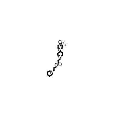 CN1CCN(C2CCN(CCC(=O)OCCCN3CCCCC3)CC2)CC1